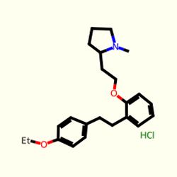 CCOc1ccc(CCc2ccccc2OCCC2CCCN2C)cc1.Cl